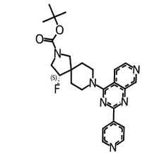 CC(C)(C)OC(=O)N1C[C@@H](F)C2(CCN(c3nc(-c4ccncc4)nc4cnccc34)CC2)C1